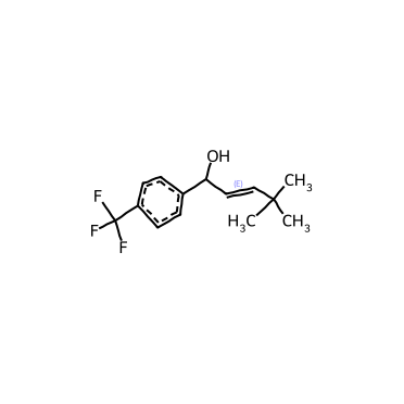 CC(C)(C)/C=C/C(O)c1ccc(C(F)(F)F)cc1